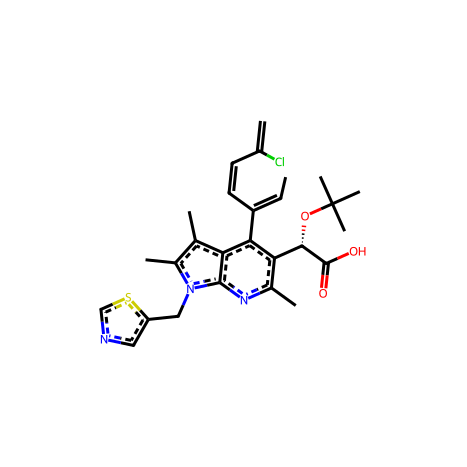 C=C(Cl)/C=C\C(=C/C)c1c([C@H](OC(C)(C)C)C(=O)O)c(C)nc2c1c(C)c(C)n2Cc1cncs1